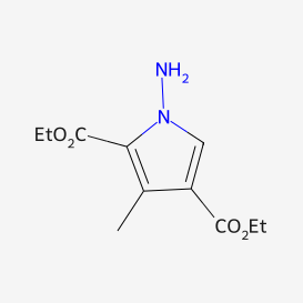 CCOC(=O)c1cn(N)c(C(=O)OCC)c1C